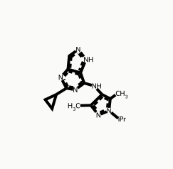 Cc1nn(C(C)C)c(C)c1Nc1nc(C2CC2)nc2cn[nH]c12